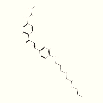 CCCCCCCCCCOc1ccc(/C=C/C(=O)c2ccc(SCCC)cc2)cc1